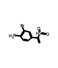 C=C(c1ccc(N)c(Br)c1)[SH](=O)=O